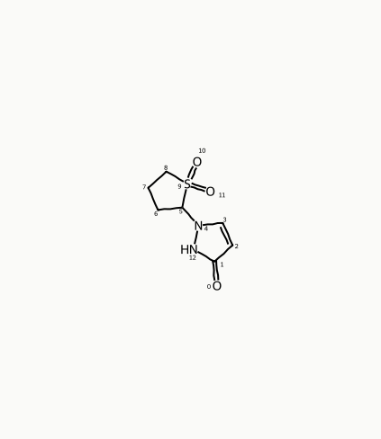 O=c1ccn(C2CCCS2(=O)=O)[nH]1